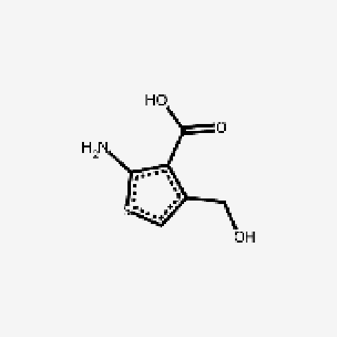 Nc1scc(CO)c1C(=O)O